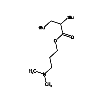 CN(C)CCCOC(=O)C(CC(C)(C)C)C(C)(C)C